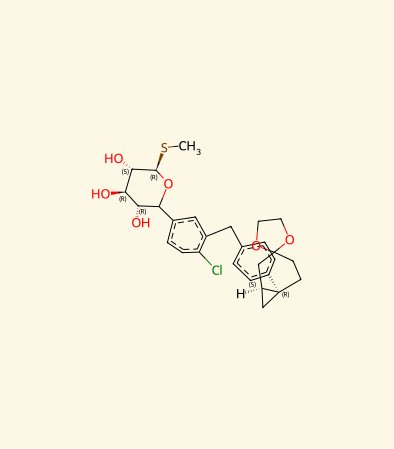 CS[C@H]1OC(c2ccc(Cl)c(Cc3ccc([C@@]45CCC6(C[C@@H]4C5)OCCO6)cc3)c2)[C@H](O)[C@@H](O)[C@@H]1O